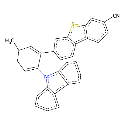 CC1C=C(c2ccc3c(c2)sc2cc(C#N)ccc23)C(n2c3ccccc3c3ccccc32)=CC1